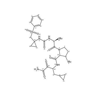 CC(C)(C)C1CCN(C(=O)[C@@H](NC(=O)NC2(CS(=O)(=O)c3ccccc3)CC2)C(C)(C)C)C1C(=O)NC(CC1CC1)C(=O)C(N)=O